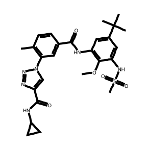 COc1c(NC(=O)c2ccc(C)c(-n3cc(C(=O)NC4CC4)nn3)c2)cc(C(C)(C)C)cc1NS(C)(=O)=O